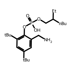 CCCCC(CC)COP(=O)(O)Oc1c(CN)cc(C(C)(C)C)cc1C(C)(C)C